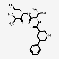 CC(C)C(=O)[C@H](CCN)NC(=O)[C@@H](NC(=O)C1CNCC(c2ccccc2)C1)[C@H](C)O